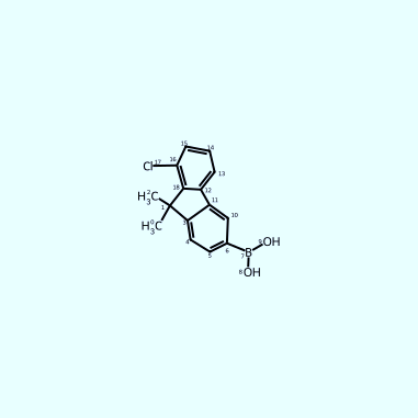 CC1(C)c2ccc(B(O)O)cc2-c2cccc(Cl)c21